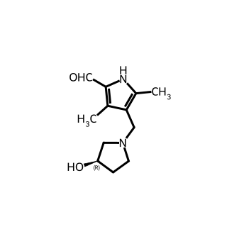 Cc1[nH]c(C=O)c(C)c1CN1CC[C@@H](O)C1